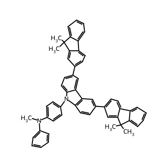 CN(c1ccccc1)c1ccc(-n2c3ccc(-c4ccc5c(c4)C(C)(C)c4ccccc4-5)cc3c3cc(-c4ccc5c(c4)C(C)(C)c4ccccc4-5)ccc32)cc1